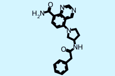 NC(=O)c1ccc(N2CCC(NC(=O)Cc3ccccc3)C2)c2cncnc12